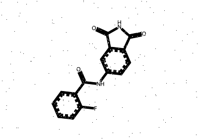 O=C(Nc1ccc2c(c1)C(=O)NC2=O)c1ccccc1F